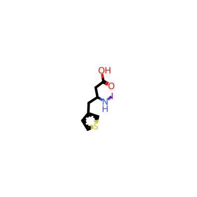 O=C(O)CC(Cc1ccsc1)NI